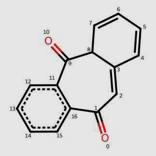 O=C1C=C2C=CC=CC2C(=O)c2ccccc21